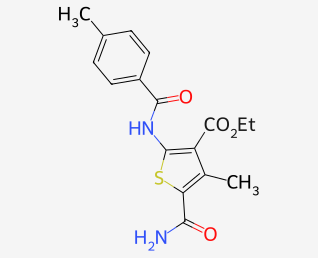 CCOC(=O)c1c(NC(=O)c2ccc(C)cc2)sc(C(N)=O)c1C